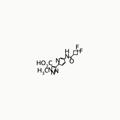 Cn1nnc(-c2ccc(NC(=O)C3CC(F)(F)C3)cn2)c1C(=O)O